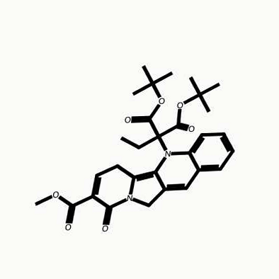 CCC(C(=O)OC(C)(C)C)(C(=O)OC(C)(C)C)N1C2=C3CC=C(C(=O)OC)C(=O)N3CC2=Cc2ccccc21